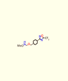 CONCOCc1ccc(-c2noc(C(F)(F)F)n2)cc1